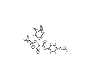 O=C(Oc1ccc([N+](=O)[O-])cc1)N1C(=O)O[C@@H](C2CC2)[C@@H]1c1ccc(F)c(F)c1